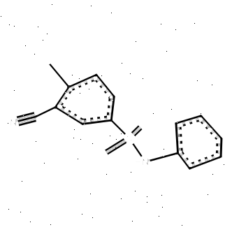 Cc1ccc(S(=O)(=O)Nc2ccccc2)cc1C#N